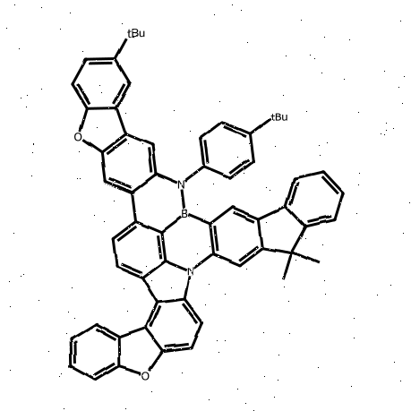 CC(C)(C)c1ccc(N2B3c4cc5c(cc4-n4c6ccc7oc8ccccc8c7c6c6ccc(c3c64)-c3cc4oc6ccc(C(C)(C)C)cc6c4cc32)C(C)(C)c2ccccc2-5)cc1